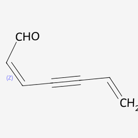 C=CC#C/C=C\C=O